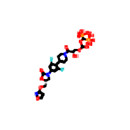 O=C(OC[C@H](O)C(=O)N1CC=C(c2c(F)cc(N3C[C@H](COc4ccon4)OC3=O)cc2F)CC1)OC(P(=O)(O)O)[PH](O)(O)O